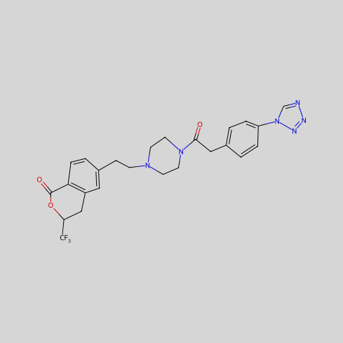 O=C1OC(C(F)(F)F)Cc2cc(CCN3CCN(C(=O)Cc4ccc(-n5cnnn5)cc4)CC3)ccc21